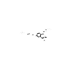 COCCOCOc1ccc2c(c1)[C@H]1CN(C(=O)N1O)[C@H]2C(=O)NOC